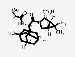 CC(C)(C)OC(=O)N[C@H](C(=O)N1C[C@H]2[C@@H]([C@H]1C(=O)O)C2(C)C)C12C[C@@H]3C[C@@H](CC(O)(C3)C1)C2